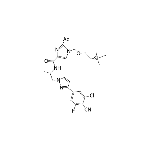 CC(=O)c1nc(C(=O)NC(C)Cn2ccc(-c3cc(F)c(C#N)c(Cl)c3)n2)cn1COCC[Si](C)(C)C